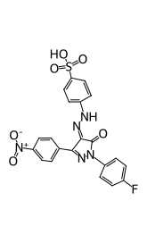 O=C1C(=NNc2ccc(S(=O)(=O)O)cc2)C(c2ccc([N+](=O)[O-])cc2)=NN1c1ccc(F)cc1